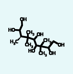 C[C@H](C(O)CO)C(C)(C)C(O)C(O)C(C)(C)C(O)CO